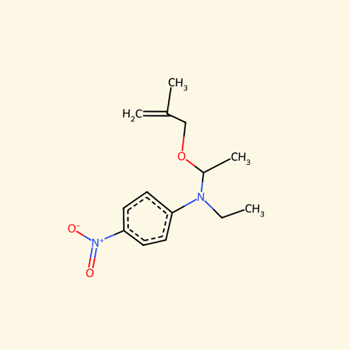 C=C(C)COC(C)N(CC)c1ccc([N+](=O)[O-])cc1